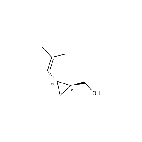 CC(C)=C[C@H]1C[C@@H]1CO